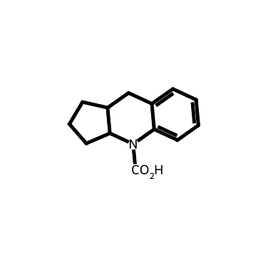 O=C(O)N1c2ccccc2CC2CCCC21